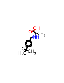 C[C@H](NCc1ccc(C(C)(C)C)cc1)C(=O)O